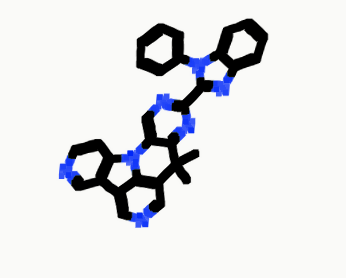 CC1(C)c2nc(-c3nc4ccccc4n3-c3ccccc3)ncc2-n2c3ccncc3c3cncc1c32